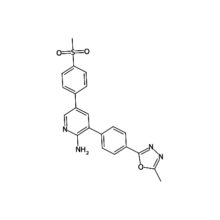 Cc1nnc(-c2ccc(-c3cc(-c4ccc(S(C)(=O)=O)cc4)cnc3N)cc2)o1